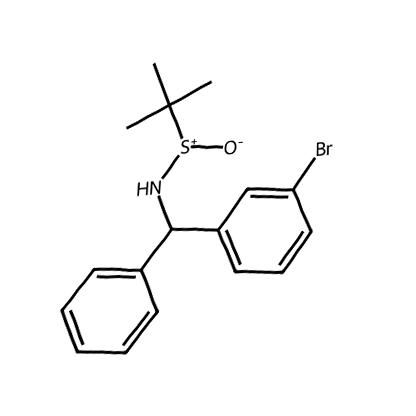 CC(C)(C)[S+]([O-])NC(c1ccccc1)c1cccc(Br)c1